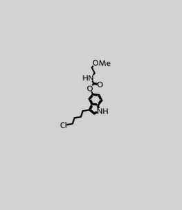 COCCNC(=O)Oc1ccc2[nH]cc(CCCCCl)c2c1